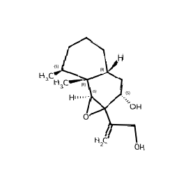 C=C(CO)C12O[C@H]1[C@@]1(C)[C@H](CCC[C@@H]1C)C[C@@H]2O